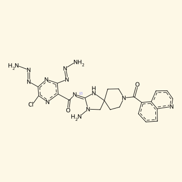 NN=Nc1nc(N=NN)c(C(=O)/N=C2/NC3(CCN(C(=O)c4cccc5ncccc45)CC3)CN2N)nc1Cl